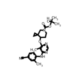 Cc1cc(C#N)ccc1Nc1ncnc(OC2CCN(C(=O)OC(C)(C)C)CC23CC3)c1C